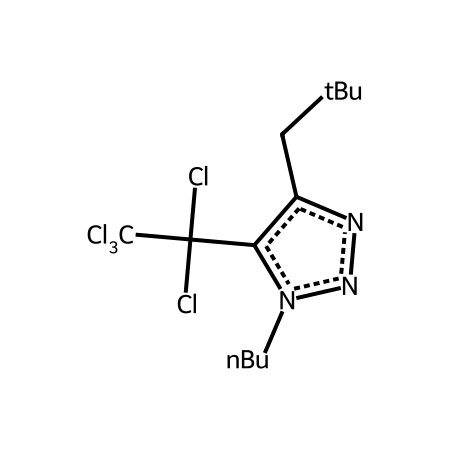 CCCCn1nnc(CC(C)(C)C)c1C(Cl)(Cl)C(Cl)(Cl)Cl